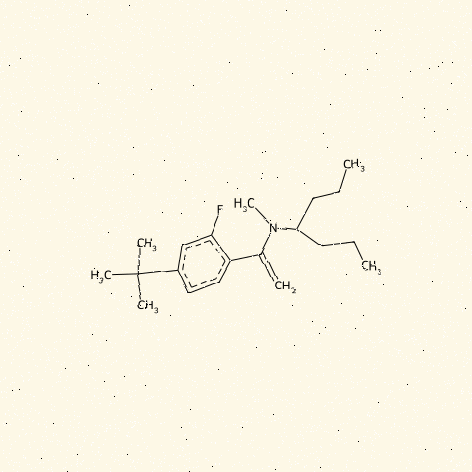 C=C(c1ccc(C(C)(C)C)cc1F)N(C)C(CCC)CCC